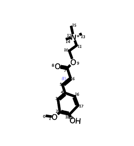 COc1cc(/C=C/C(=O)OCC[N+](C)(C)C)ccc1O